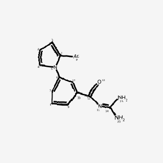 CC(=O)c1cccn1-c1cccc(C(=O)N=C(N)N)c1